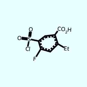 CCc1cc(F)c(S(=O)(=O)Cl)cc1C(=O)O